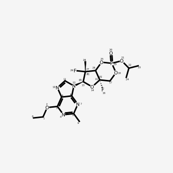 CCOc1nc(C)nc2c1ncn2[C@@H]1O[C@]2(F)COP(=O)(OC(C)C)OC2[C@@]1(C)F